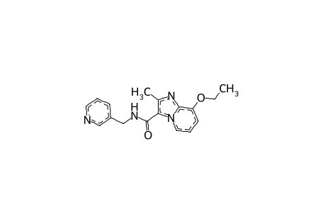 CCOc1cccn2c(C(=O)NCc3cccnc3)c(C)nc12